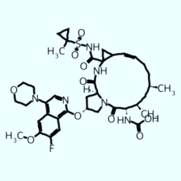 COc1cc2c(N3CCOCC3)cnc(O[C@@H]3C[C@H]4C(=O)NC5(C(=O)NS(=O)(=O)C6(C)CC6)CC5/C=C\CC[C@@H](C)C[C@@H](C)[C@H](NC(=O)O)C(=O)N4C3)c2cc1F